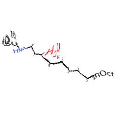 CCCCCCCCCCCCCCCCNC(C)(C)C.O